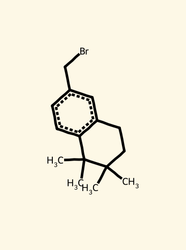 CC1(C)CCc2cc(CBr)ccc2C1(C)C